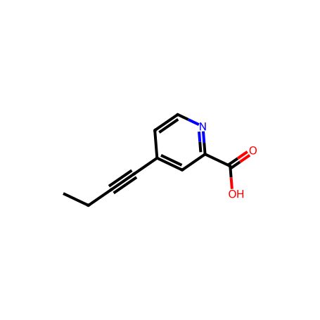 CCC#Cc1ccnc(C(=O)O)c1